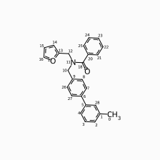 Cc1cccc(-c2ccc(CN(Cc3ccco3)C(=O)c3ccccc3)cc2)c1